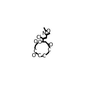 Cc1nc(C=C(Cl)C2CC3OC3CCCCCCC(=O)CCCC(=O)O2)co1